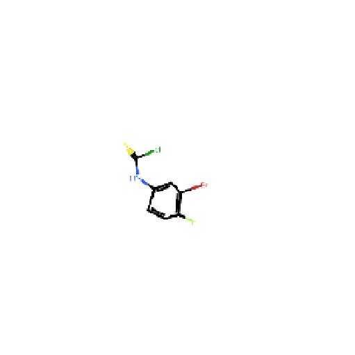 Fc1ccc(NC(=S)Cl)cc1Br